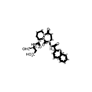 O=C[C@H](CC(=O)O)NC(=O)[C@@H]1CCCN2C(=O)CCN(NC(=O)c3ccc4ccccc4n3)C(=O)N12